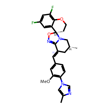 COc1cc(/C=C2\C[C@@H](C)CN3C2=NO[C@]32CCOc3c(F)cc(F)cc32)ccc1-n1cnc(C)c1